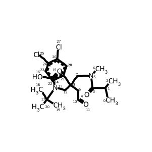 CC(C)C(=O)N(C)CC(CC=O)(CN(C(=O)O)C(C)(C)C)c1ccc(Cl)c(Cl)c1